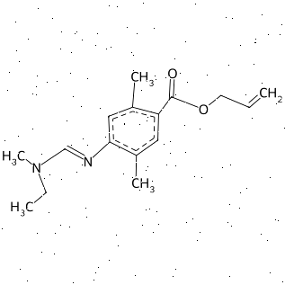 C=CCOC(=O)c1cc(C)c(/N=C/N(C)CC)cc1C